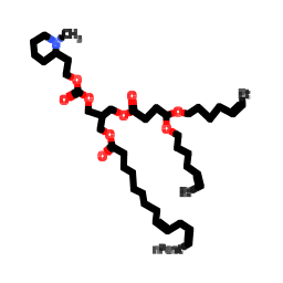 CC/C=C\CCCCOC(CCC(=O)OCC(COC(=O)CCCCCCC/C=C\C/C=C\CCCCC)COC(=O)OCCC1CCCCN1C)OCCCC/C=C\CC